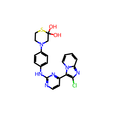 OC1(O)CN(c2ccc(Nc3nccc(-c4c(Cl)nc5ccccn45)n3)cc2)CCS1